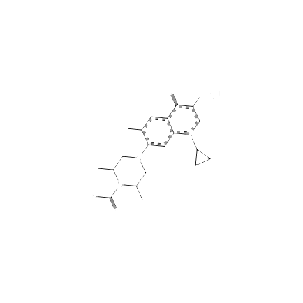 CC1CN(c2cc3c(cc2F)c(=O)c(C(=O)O)cn3C2CC2)CC(C)N1C(N)=O